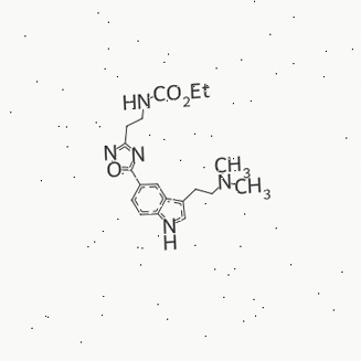 CCOC(=O)NCCc1noc(-c2ccc3[nH]cc(CCN(C)C)c3c2)n1